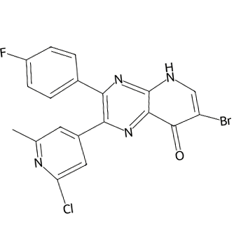 Cc1cc(-c2nc3c(=O)c(Br)c[nH]c3nc2-c2ccc(F)cc2)cc(Cl)n1